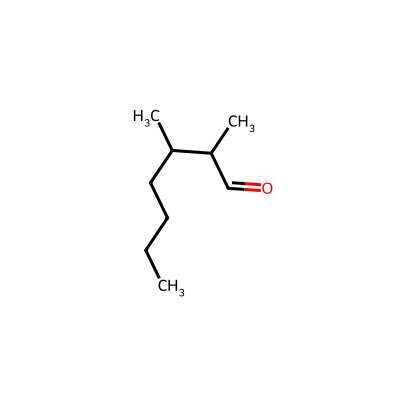 CCCCC(C)C(C)C=O